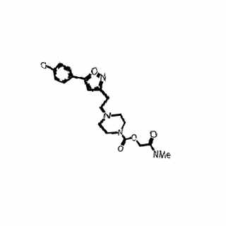 CNC(=O)COC(=O)N1CCN(CCc2cc(-c3ccc(Cl)cc3)on2)CC1